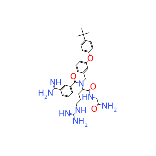 CC(C)(C)c1ccc(Oc2cccc(CN(C(=O)c3cccc(C(=N)N)c3)C(CCCNC(=N)N)C(=O)NCC(N)=O)c2)cc1